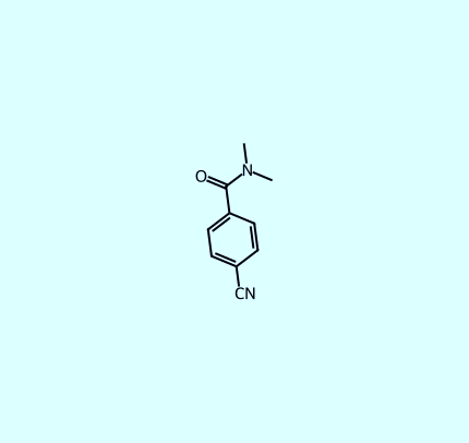 CN(C)C(=O)c1ccc(C#N)cc1